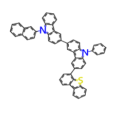 c1ccc(-n2c3ccc(-c4ccc5c(c4)c4ccccc4n5-c4ccc5ccccc5c4)cc3c3cc(-c4cccc5c4sc4ccccc45)ccc32)cc1